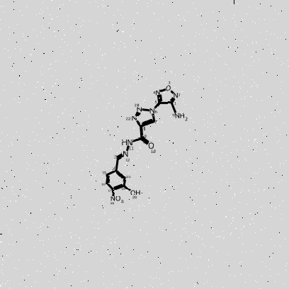 Nc1nonc1-n1cc(C(=O)NN=Cc2ccc([N+](=O)[O-])c(O)c2)nn1